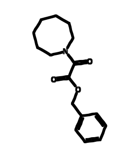 O=C(OCc1ccccc1)C(=O)N1CCCCCCC1